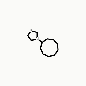 C1CCCCC(N2CCSC2)CCC1